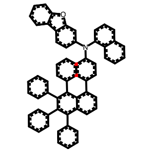 c1ccc(-c2c(-c3ccccc3)c(-c3ccccc3)c3c(-c4ccc(N(c5ccc6c(c5)oc5ccccc56)c5cccc6ccccc56)cc4)cccc3c2-c2ccccc2)cc1